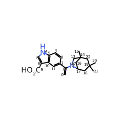 C=C(c1ccc2[nH]cc(C(=O)O)c2c1)N1CC2(C)CC1CC(C)(C)C2